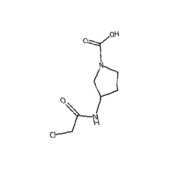 O=C(CCl)NC1CCN(C(=O)O)C1